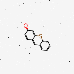 O=c1ccc2cc3ccccc3sc-2c1